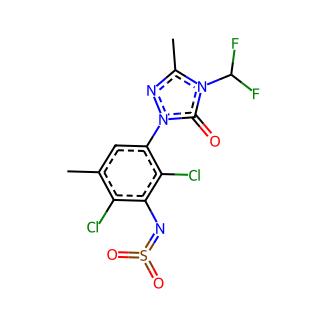 Cc1cc(-n2nc(C)n(C(F)F)c2=O)c(Cl)c(N=S(=O)=O)c1Cl